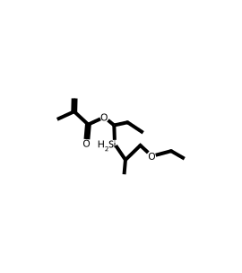 C=C(C)C(=O)OC(CC)[SiH2]C(C)COCC